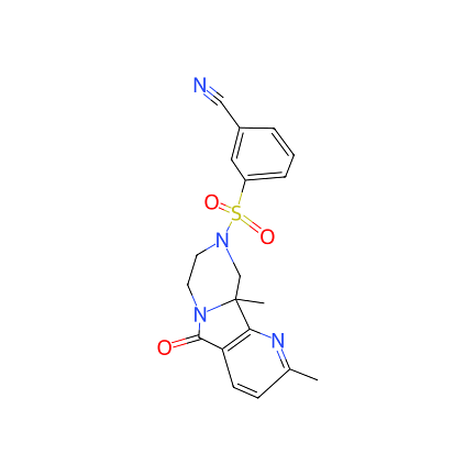 Cc1ccc2c(n1)C1(C)CN(S(=O)(=O)c3cccc(C#N)c3)CCN1C2=O